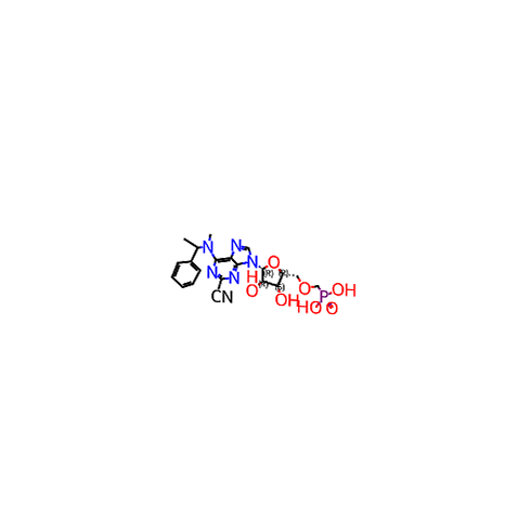 CC(c1ccccc1)N(C)c1nc(C#N)nc2c1ncn2[C@@H]1O[C@H](COCP(=O)(O)O)[C@@H](O)[C@H]1O